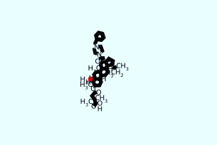 C=C(C)[C@@H]1CC[C@]2(CC(=O)N3CCN(Cc4ccccc4)CC3)CC[C@]3(C)[C@H](CC[C@@H]4[C@@]5(C)CC[C@H](OC(=O)CC(C)(C)C(=O)O)C(C)(C)[C@@H]5CC[C@]43C)[C@@H]12